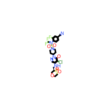 N#Cc1ccc(N(C(F)F)S(=O)(=O)N2CCC(n3ncc(NC[C@@H]4COCCS4(=O)=O)c(Cl)c3=O)CC2)c(F)c1